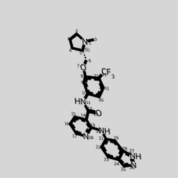 CN1CCC[C@H]1COc1cc(NC(=O)c2cccnc2Nc2ccc3cn[nH]c3c2)ccc1C(F)(F)F